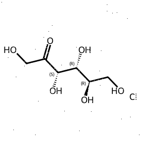 O=C(CO)[C@@H](O)[C@H](O)[C@H](O)CO.[C]